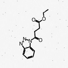 CCOC(=O)CCC(=O)n1nnc2ccccc21